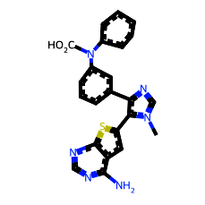 Cn1cnc(-c2cccc(N(C(=O)O)c3ccccc3)c2)c1-c1cc2c(N)ncnc2s1